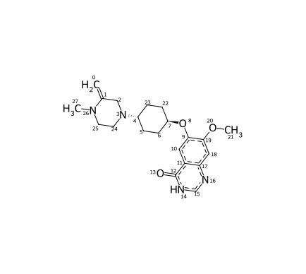 C=C1CN([C@H]2CC[C@H](Oc3cc4c(=O)[nH]cnc4cc3OC)CC2)CCN1C